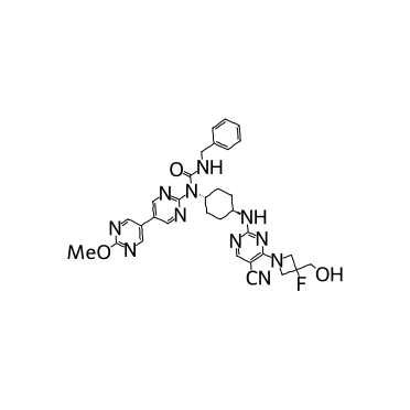 COc1ncc(-c2cnc(N(C(=O)NCc3ccccc3)[C@H]3CC[C@H](Nc4ncc(C#N)c(N5CC(F)(CO)C5)n4)CC3)nc2)cn1